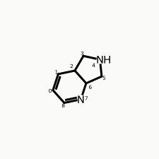 C1=CC2CNCC2N=C1